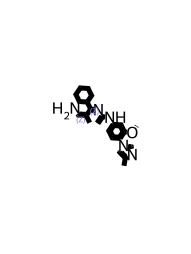 C=C(/N=C(\C(C)=C/N)C1CCCCC1)Nc1ccc(-n2cnc(C)c2)c(OC)c1